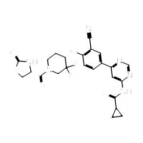 N#Cc1cc(-c2cc(NC(=O)C3CC3)ncn2)ccc1O[C@H]1CCN(C(=O)[C@@H]2COC(=O)N2)CC1(F)F